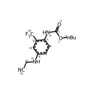 CCCCOC(=O)Nc1ccc(NCC#N)cc1C(F)(F)F